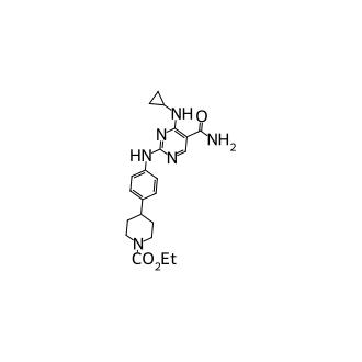 CCOC(=O)N1CCC(c2ccc(Nc3ncc(C(N)=O)c(NC4CC4)n3)cc2)CC1